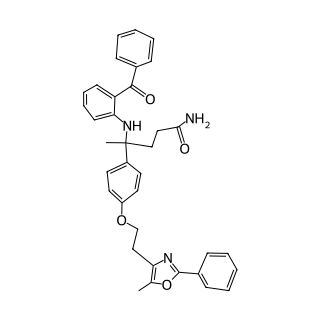 Cc1oc(-c2ccccc2)nc1CCOc1ccc(C(C)(CCC(N)=O)Nc2ccccc2C(=O)c2ccccc2)cc1